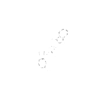 Cc1c([C@H](C)NC(=O)Nc2cccc(C3SCCCS3)c2)oc2ccccc12